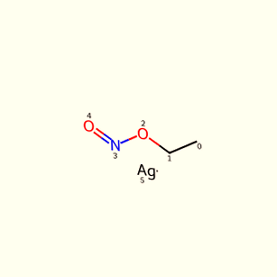 CCON=O.[Ag]